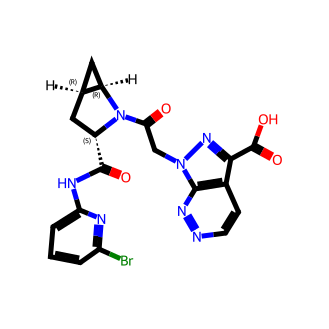 O=C(O)c1nn(CC(=O)N2[C@@H]3C[C@@H]3C[C@H]2C(=O)Nc2cccc(Br)n2)c2nnccc12